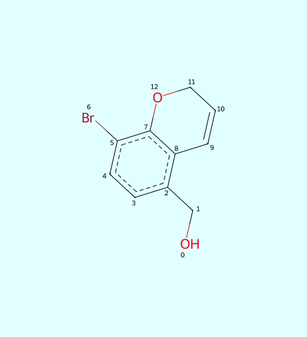 OCc1ccc(Br)c2c1C=CCO2